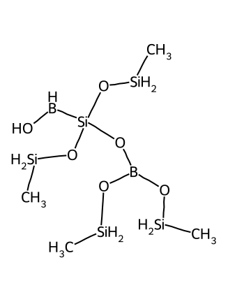 C[SiH2]OB(O[SiH2]C)O[Si](BO)(O[SiH2]C)O[SiH2]C